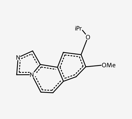 COc1cc2ccn3cncc3c2cc1OC(C)C